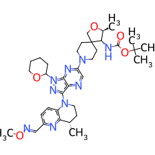 CO/N=C/c1ccc2c(n1)[C@@H](C)CCN2c1nn(C2CCCCO2)c2nc(N3CCC4(CC3)CO[C@@H](C)[C@H]4NC(=O)OC(C)(C)C)cnc12